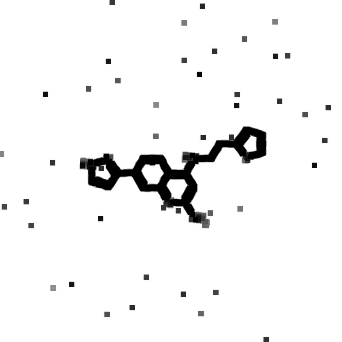 Nc1cc(NCCc2cccs2)c2ccc(-c3cc[nH]n3)cc2n1